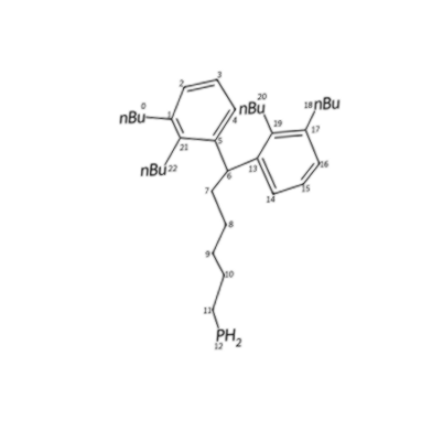 CCCCc1cccc(C(CCCCCP)c2cccc(CCCC)c2CCCC)c1CCCC